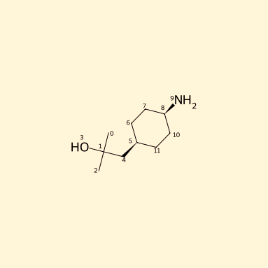 CC(C)(O)C[C@H]1CC[C@@H](N)CC1